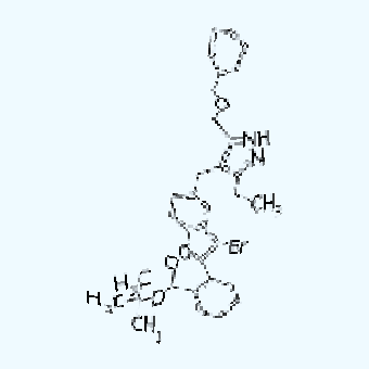 CCc1n[nH]c(COCc2ccccc2)c1Cc1ccc2oc(-c3ccccc3C(=O)OC(C)(C)C)c(Br)c2c1